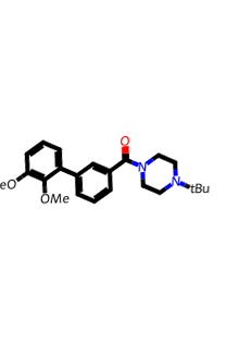 COc1cccc(-c2cccc(C(=O)N3CCN(C(C)(C)C)CC3)c2)c1OC